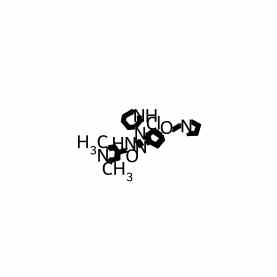 Cc1cc(C(=O)Nc2nc3ccc(OCCN4CCCC4)c(Cl)c3n2C2CCCCNC2)cc(C)n1